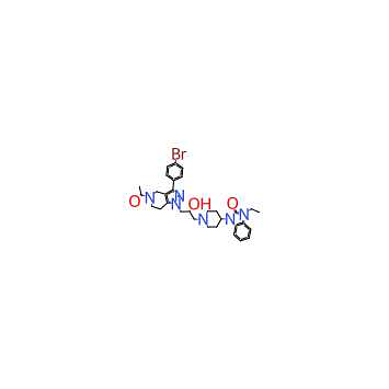 CCn1c(=O)n(C2CCN(CC(O)Cn3nc(-c4ccc(Br)cc4)c4c3CCN(C(C)=O)C4)CC2)c2ccccc21